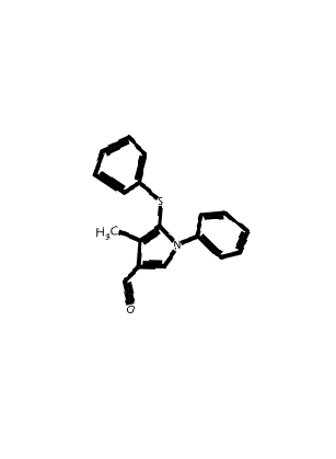 Cc1c(C=O)cn(-c2ccccc2)c1Sc1ccccc1